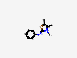 CCn1c(C)c(C(C)=O)s/c1=N\c1ccccc1